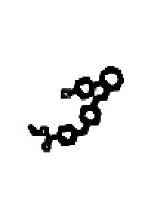 CCOC(=O)c1ccc(CC2CCC(CCC3=C(c4ccc(Cl)cc4)CCCCC3)CC2)cc1